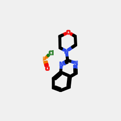 O=PCl.c1ccc2nc(N3CCOCC3)ncc2c1